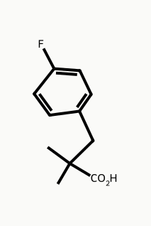 CC(C)(Cc1ccc(F)cc1)C(=O)O